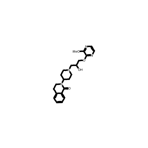 COc1nccnc1OCC(O)CN1CCC(N2CCc3ccccc3C2=O)CC1